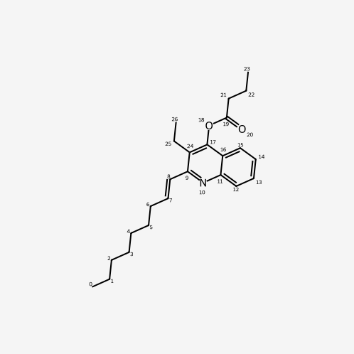 CCCCCCCC=Cc1nc2ccccc2c(OC(=O)CCC)c1CC